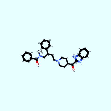 CN(CC(CCN1CCC(C(=O)c2nc3ccccc3[nH]2)CC1)c1ccccc1)C(=O)c1ccccc1